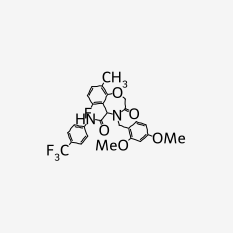 COc1ccc(CN2C(=O)COc3c(C)ccc(F)c3C2C(=O)Nc2ccc(C(F)(F)F)cc2)c(OC)c1